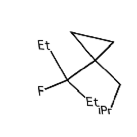 CCC(F)(CC)C1(CC(C)C)CC1